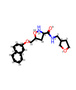 O=C(NCC1CCOC1)C1CC(COc2ccc3ccccc3c2)ON1